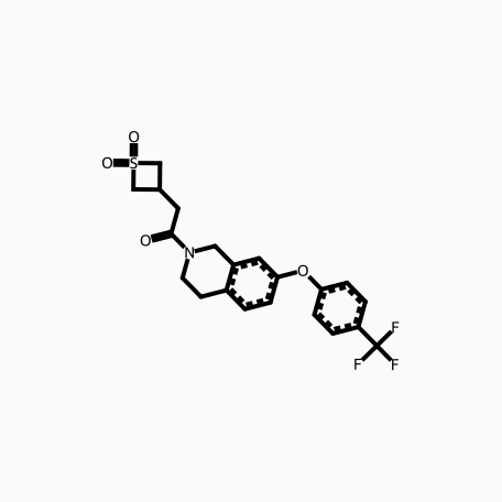 O=C(CC1CS(=O)(=O)C1)N1CCc2ccc(Oc3ccc(C(F)(F)F)cc3)cc2C1